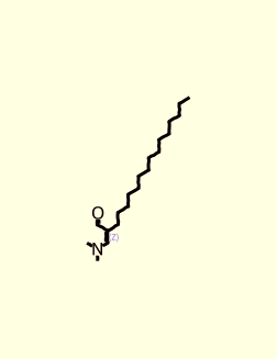 CCCCCCCCCCCCCCC/C(C=O)=C/N(C)C